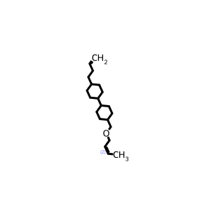 C=CCCC1CCC(C2CCC(COC/C=C\C)CC2)CC1